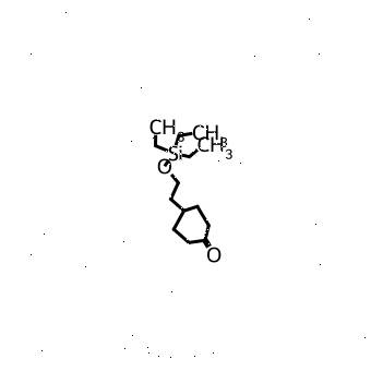 CC[Si](CC)(CC)OCCC1CCC(=O)CC1